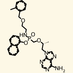 Cc1ccccc1COCCNP(=O)(CO[C@H](C)Cn1cnc2c(N)ncnc21)Oc1cccc2ccccc12